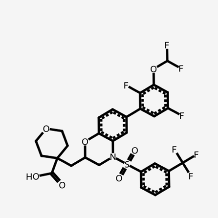 O=C(O)C1(CC2CN(S(=O)(=O)c3cccc(C(F)(F)F)c3)c3cc(-c4cc(F)cc(OC(F)F)c4F)ccc3O2)CCOCC1